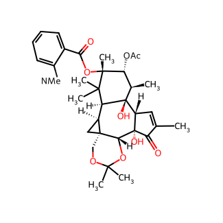 CNc1ccccc1C(=O)O[C@]1(C)[C@H](OC(C)=O)[C@@H](C)[C@]2(O)[C@@H]3C=C(C)C(=O)[C@@]3(O)[C@@H]3OC(C)(C)OC[C@@]34C[C@H]4[C@H]2C1(C)C